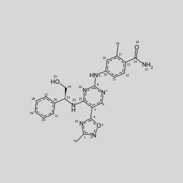 Cc1noc(-c2cnc(Nc3ccc(C(N)=O)c(C)c3)nc2N[C@H](CO)c2ccccc2)n1